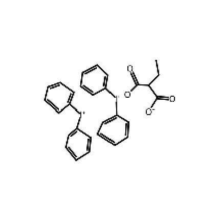 CCC(C(=O)[O-])C(=O)[O-].c1ccc([I+]c2ccccc2)cc1.c1ccc([I+]c2ccccc2)cc1